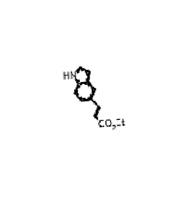 CCOC(=O)/C=C/c1ccc2[nH]ccc2c1